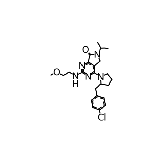 COCCNc1nc2c(c(N3CCCC3Cc3ccc(Cl)cc3)n1)CN(C(C)C)C2=O